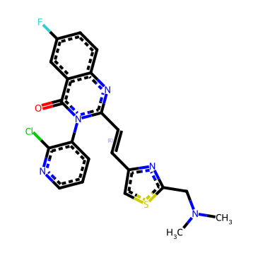 CN(C)Cc1nc(/C=C/c2nc3ccc(F)cc3c(=O)n2-c2cccnc2Cl)cs1